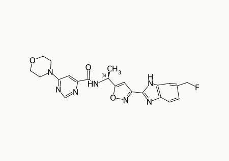 C[C@H](NC(=O)c1cc(N2CCOCC2)ncn1)c1cc(-c2nc3ccc(CF)cc3[nH]2)no1